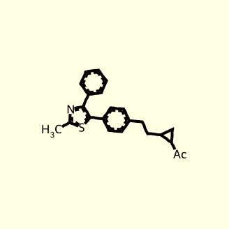 CC(=O)C1CC1CCc1ccc(-c2sc(C)nc2-c2ccccc2)cc1